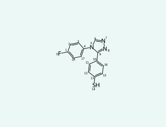 Fc1ccc(-n2cnnc2-c2ccc(S)cc2)cc1